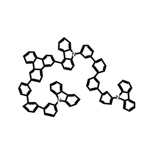 c1cc(-c2cccc(-c3cccc(-n4c5ccccc5c5c(-c6ccc7c8ccccc8c8cc(-c9cccc(-c%10cccc(-c%11cccc(-n%12c%13ccccc%13c%13ccccc%13%12)c%11)c%10)c9)ccc8c7c6)cccc54)c3)c2)cc(-c2cccc(-n3c4ccccc4c4ccccc43)c2)c1